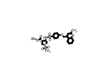 Cc1cc(COc2ccc(S(=O)(=O)N[C@H]3CN(S(C)(=O)=O)C[C@H]3C(=O)OC(C)(C)C)cc2)c2ccccc2n1